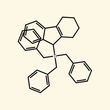 c1ccc([CH2][Ti]([CH2]c2ccccc2)([CH2]c2ccccc2)[CH]2C3=C(CCCC3)c3ccccc32)cc1